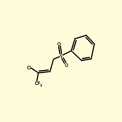 O=S(=O)(C/C=C(\Cl)C(F)(F)F)c1ccccc1